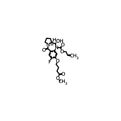 C=CCOC(=O)N1c2cc(OCCCC(=O)OC)c(F)cc2C(=O)N2CCC[C@H]2C1O